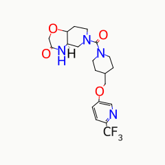 O=C1COC2CCN(C(=O)N3CCC(COc4ccc(C(F)(F)F)nc4)CC3)C[C@H]2N1